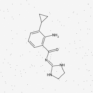 Nc1c(C(=O)N=C2NCCN2)cccc1C1CC1